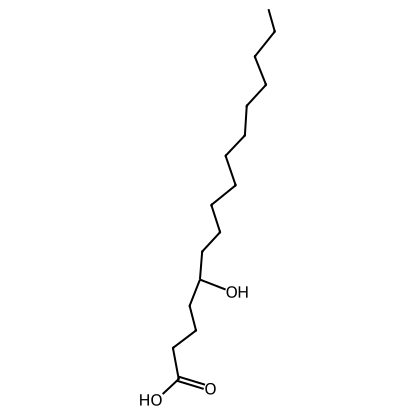 CCCCCCCCCCCC(O)CCCC(=O)O